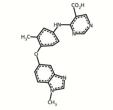 Cc1cc(Nc2ncncc2C(=O)O)ccc1Oc1ccc2c(c1)ncn2C